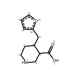 O=C(O)C1CNCCC1Cc1ccco1